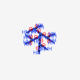 CNCCNC(=O)CCN(CCNC(=O)CCN(CCC(=O)NCCN(CCC(=O)NCCNC)CCC(=O)NCCNC)CCN(CCC(=O)NCCN(CCC(=O)NCCNC)CCC(=O)NCCNC)CCC(=O)NCCN(CCC(=O)NCCNC)CCC(=O)NCCNC)CCC(=O)NCCNC